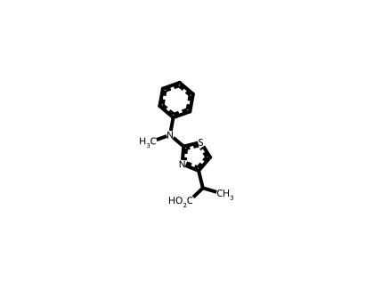 CC(C(=O)O)c1csc(N(C)c2ccccc2)n1